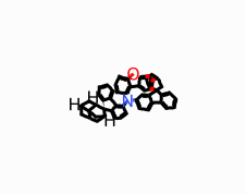 c1ccc2c(c1)-c1ccc(N(c3cccc4c3-c3ccccc3[C@]43[C@@H]4CC5C[C@@H](C4)C[C@@H]3C5)c3cccc4oc5ccccc5c34)cc1C21CC2CCC1C2